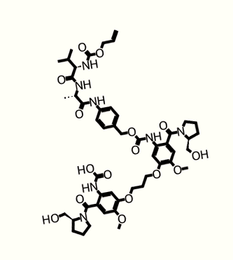 C=CCOC(=O)N[C@H](C(=O)N[C@@H](C)C(=O)Nc1ccc(COC(=O)Nc2cc(OCCCOc3cc(NC(=O)O)c(C(=O)N4CCC[C@H]4CO)cc3OC)c(OC)cc2C(=O)N2CCC[C@H]2CO)cc1)C(C)C